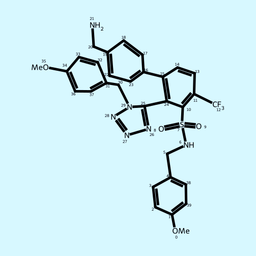 COc1ccc(CNS(=O)(=O)c2c(C(F)(F)F)ccc(-c3ccc(CN)cc3)c2-c2nnnn2Cc2ccc(OC)cc2)cc1